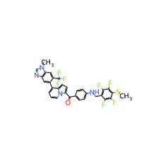 CSc1c(F)c(F)c(CNc2ccc(C(=O)c3ccc4c(-c5cc6ncn(C)c6cc5C(F)(F)F)cccn34)cc2)c(F)c1F